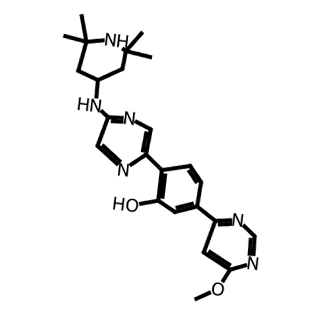 COc1cc(-c2ccc(-c3cnc(NC4CC(C)(C)NC(C)(C)C4)cn3)c(O)c2)ncn1